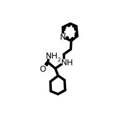 NC(=O)C(NCCc1ccccn1)C1CCCCC1